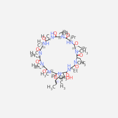 C/C=C/C[C@@H](C)[C@@H](O)C1C(=O)N[C@@H](CC)C(=O)N(C)C(CC(C)=O)C(=O)N(C)[C@@H](CC(C)C)C(=O)N[C@@H](C(C)C)C(=O)N(C)[C@@H](CC(C)C)C(=O)N[C@@H](C)C(=O)N[C@@H](C)C(=O)N(C)[C@@H](CC(C)C)C(=O)N(C)[C@@H](CC(C)C)C(=O)N(C)[C@@H](C(C)C)C(=O)N1C